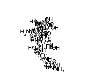 CC(=NNO)c1ccc(N2C(=O)CC(SCC(NC(=O)[C@H](CC(=O)O)NC(=O)[C@H](CC(=O)O)NC(=O)[C@H](CCCNN)NC(=O)C(CC(=O)O)NC(=O)CC[C@H](NC(=O)c3ccc(NCc4cnc5nc(N)[nH]c(=O)c5n4)cc3)C(=O)O)C(=O)O)C2=O)cc1